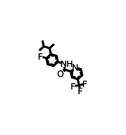 CC(C)C(C)c1cc(NC(=O)c2cc(C(F)(F)F)ccn2)ccc1F